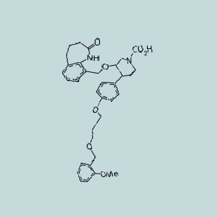 COc1ccccc1COCCCOc1ccc(C2CCN(C(=O)O)CC2OCc2cccc3c2NC(=O)CCC3)cc1